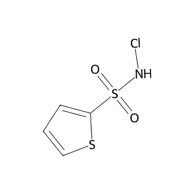 O=S(=O)(NCl)c1cccs1